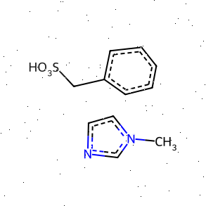 Cn1ccnc1.O=S(=O)(O)Cc1ccccc1